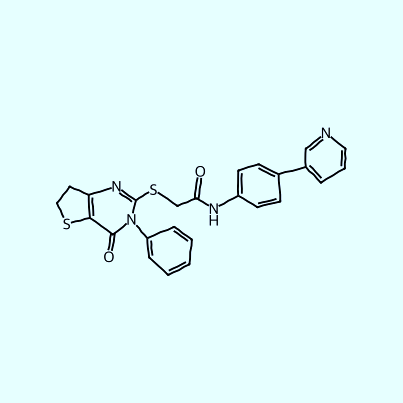 O=C(CSc1nc2c(c(=O)n1-c1ccccc1)SCC2)Nc1ccc(-c2cccnc2)cc1